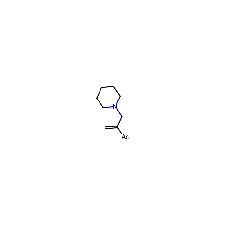 C=C(CN1CCCCC1)C(C)=O